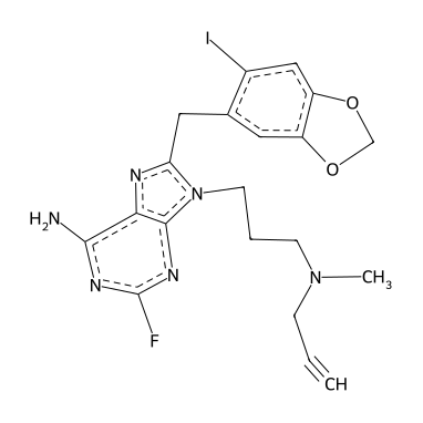 C#CCN(C)CCCn1c(Cc2cc3c(cc2I)OCO3)nc2c(N)nc(F)nc21